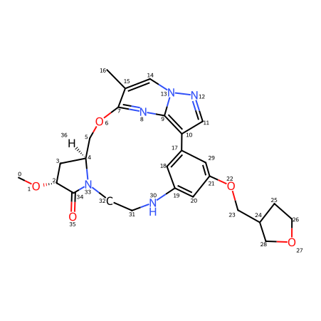 CO[C@@H]1C[C@H]2COc3nc4c(cnn4cc3C)-c3cc(cc(OCC4CCOC4)c3)NCCN2C1=O